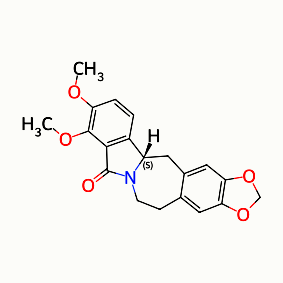 COc1ccc2c(c1OC)C(=O)N1CCc3cc4c(cc3C[C@@H]21)OCO4